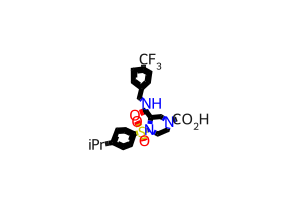 CC(C)c1ccc(S(=O)(=O)N2CCN(C(=O)O)CC2C(=O)NCc2ccc(C(F)(F)F)cc2)cc1